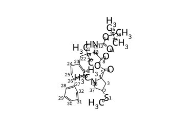 CSC1CC(C(=O)OC(=O)[C@@H](NC(=O)OC(C)(C)C)C(C)(C)Cc2ccc(-c3ccccc3)cc2)N(C)C1